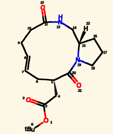 CC(C)(C)OC(=O)C[C@@H]1C/C=C/CCC(=O)NC[C@@H]2CCCN2C1=O